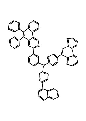 c1ccc(-c2c(-c3ccccc3)c3cc(-c4cccc(N(c5ccc(-c6cccc7ccccc67)cc5)c5ccc(-c6cc7ccccc7c7ccccc67)cc5)c4)ccc3c3ccccc23)cc1